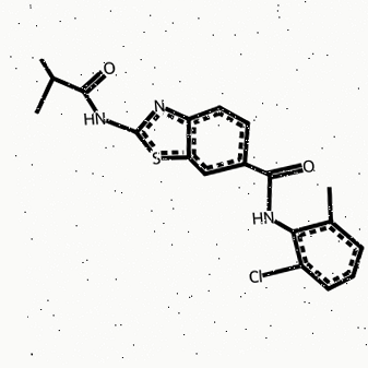 Cc1cccc(Cl)c1NC(=O)c1ccc2nc(NC(=O)C(C)C)sc2c1